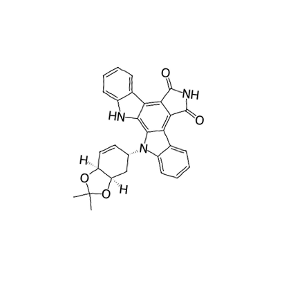 CC1(C)O[C@H]2C=C[C@H](n3c4ccccc4c4c5c(c6c7ccccc7[nH]c6c43)C(=O)NC5=O)C[C@H]2O1